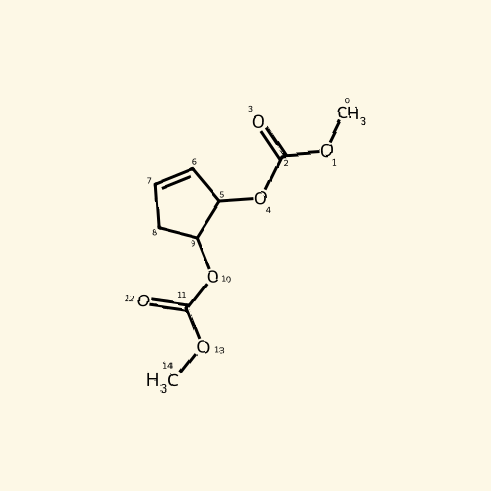 COC(=O)OC1C=CCC1OC(=O)OC